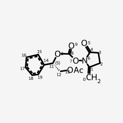 C=C1CCC(=O)N1OC(=O)O[C@H](COC(C)=O)c1ccccc1